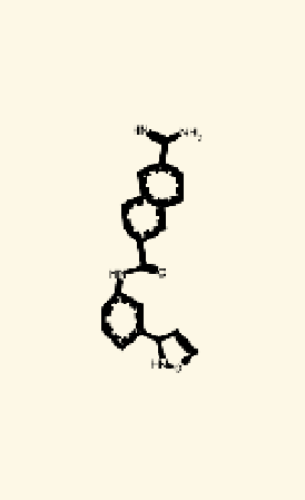 N=C(N)c1ccc2cc(C(=O)Nc3cccc(C4C=CON4)c3)ccc2c1